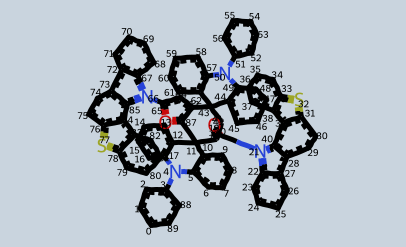 c1ccc(N2c3ccccc3C3(c4ccccc42)c2cc(-n4c5ccccc5c5ccc6sc7ccccc7c6c54)oc2C2(c4ccccc4N(c4ccccc4)c4ccccc42)c2cc(-n4c5ccccc5c5ccc6sc7ccccc7c6c54)oc23)cc1